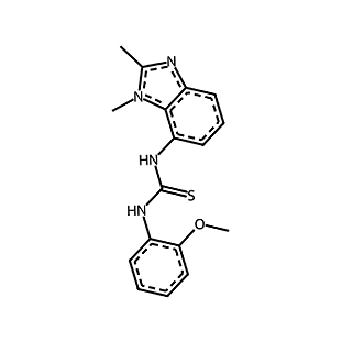 COc1ccccc1NC(=S)Nc1cccc2nc(C)n(C)c12